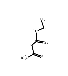 C=C(CC(=O)OCC(F)(F)F)C(=O)O